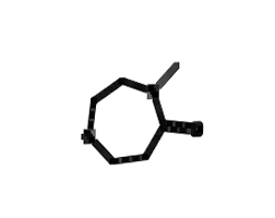 CN1CC[N]CCC1=O